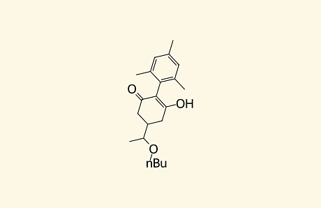 CCCCOC(C)C1CC(=O)C(c2c(C)cc(C)cc2C)=C(O)C1